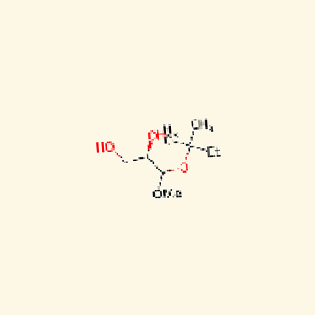 CCC(C)(C)OC(OC)[C@H](O)CO